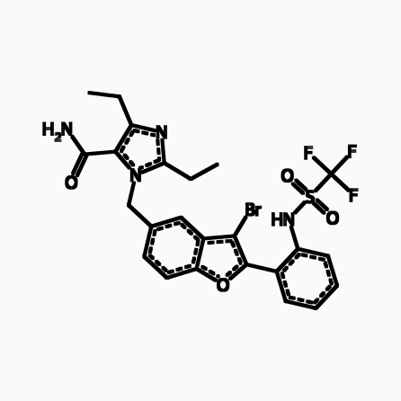 CCc1nc(CC)n(Cc2ccc3oc(-c4ccccc4NS(=O)(=O)C(F)(F)F)c(Br)c3c2)c1C(N)=O